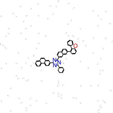 C1=CCCC(c2nc(-c3ccc4ccc(-c5cccc6oc7ccccc7c56)cc4c3)nc(-c3ccc4c(ccc5ccccc54)c3)n2)=C1